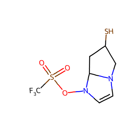 O=S(=O)(ON1C=CN2CC(S)CC21)C(F)(F)F